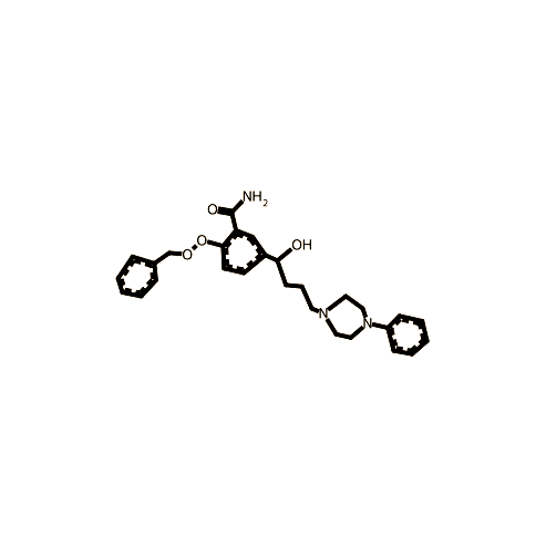 NC(=O)c1cc(C(O)CCCN2CCN(c3ccccc3)CC2)ccc1OOCc1ccccc1